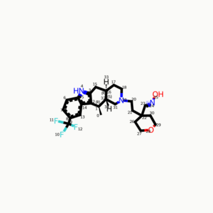 C[C@H]1c2c([nH]c3ccc(C(F)(F)F)cc23)C[C@H]2CCN(CCC3(/C=N/O)CCOCC3)C[C@@H]21